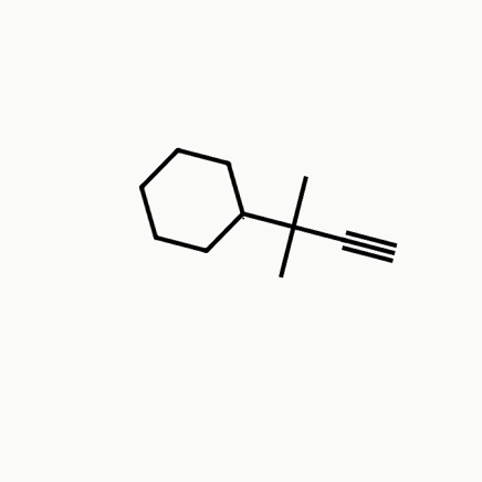 C#CC(C)(C)[C]1CCCCC1